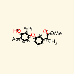 CCCc1c(Oc2cccc(C(C)C(=O)OC)c2)ccc(C(C)=O)c1O